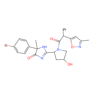 Cc1cc(C(C(=O)N2CC(O)CC2C2=NC(=O)C(C)(c3ccc(Br)cc3)N2)C(C)C)on1